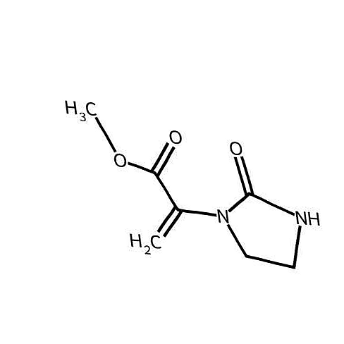 C=C(C(=O)OC)N1CCNC1=O